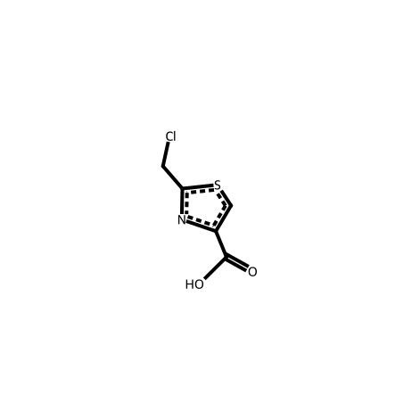 O=C(O)c1csc(CCl)n1